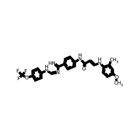 COc1ccc(N/C=C/C(=O)Nc2ccc(C(=N)/N=C\Nc3ccc(OC(F)(F)F)cc3)cc2)c(C)c1